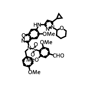 COc1ccc(CN(c2noc3cc(Nc4cc(C5CC5)n(C5CCCCO5)n4)c(OC)cc23)S(=O)(=O)c2c(OC)cc(C=O)cc2OC)cc1